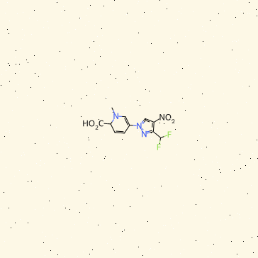 CN1C=C(n2cc([N+](=O)[O-])c(C(F)F)n2)C=CC1C(=O)O